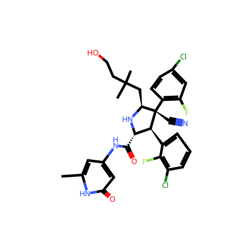 Cc1cc(NC(=O)[C@@H]2N[C@@H](CC(C)(C)CCO)[C@](C#N)(c3ccc(Cl)cc3F)[C@H]2c2cccc(Cl)c2F)cc(=O)[nH]1